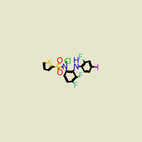 O=S(=O)(c1cccs1)N(Cl)c1ccc(F)c(F)c1Nc1ccc(I)cc1F